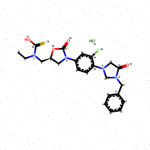 CCN(C[C@@H]1CN(c2ccc(N3CC(=O)N(Cc4ccccc4)C3)c(F)c2)C(=O)O1)C(O)=S.Cl